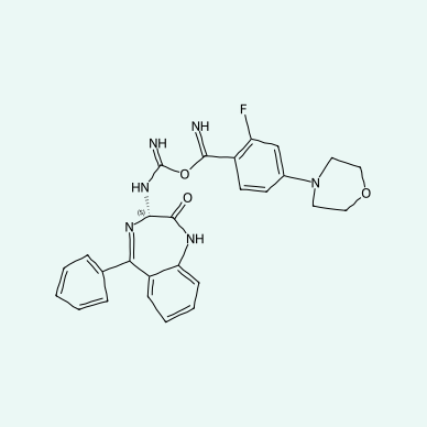 N=C(N[C@H]1N=C(c2ccccc2)c2ccccc2NC1=O)OC(=N)c1ccc(N2CCOCC2)cc1F